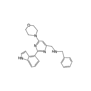 c1ccc(CNCc2cc(N3CCOCC3)nc(-c3cccc4[nH]ccc34)n2)cc1